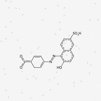 O=S(=O)=C1C=CC(N=Nc2c(O)ccc3cc(S(=O)(=O)O)ccc23)=CC1